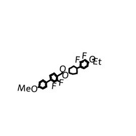 CCOc1ccc(C2CCC(OC(=O)c3ccc(-c4ccc(OC)cc4)c(F)c3F)CC2)c(F)c1F